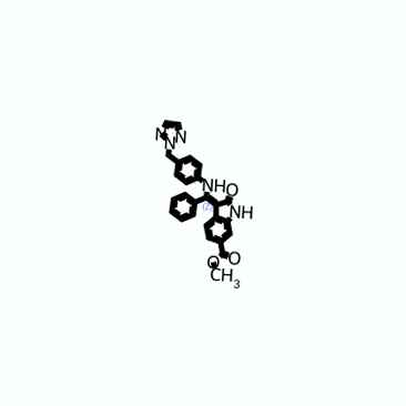 COC(=O)c1ccc2c(c1)NC(=O)/C2=C(\Nc1ccc(Cn2nccn2)cc1)c1ccccc1